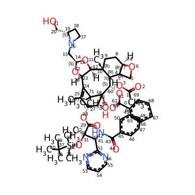 CC(=O)O[C@@]12CO[C@@H]1CC[C@@]1(C)[C@@H]3O[C@H](CN4CC[C@H]4CO)O[C@@H]3C3=C(C)[C@@H](OC(=O)[C@](C)(O[Si](C)(C)C(C)(C)C)[C@@H](NC(=O)c4ccccc4)c4ncccn4)C[C@@](O)([C@@H](OC(=O)c4ccccc4)[C@@H]12)C3(C)C